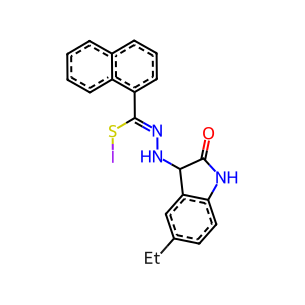 CCc1ccc2c(c1)C(N/N=C(\SI)c1cccc3ccccc13)C(=O)N2